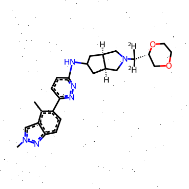 [2H]C([2H])([C@H]1COCCO1)N1C[C@H]2CC(Nc3ccc(-c4ccc5nn(C)cc5c4C)nn3)C[C@H]2C1